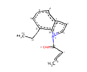 C=CC(=O)n1ccc2cccc(CC)c21